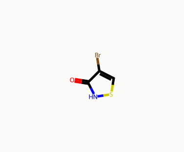 O=c1[nH]scc1Br